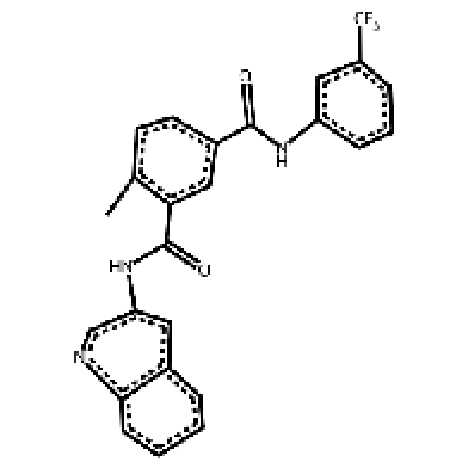 Cc1ccc(C(=O)Nc2cccc(C(F)(F)F)c2)cc1C(=O)Nc1cnc2ccccc2c1